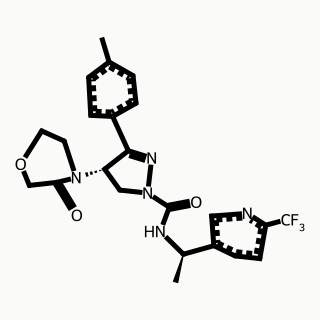 Cc1ccc(C2=NN(C(=O)N[C@H](C)c3ccc(C(F)(F)F)nc3)C[C@@H]2N2CCOCC2=O)cc1